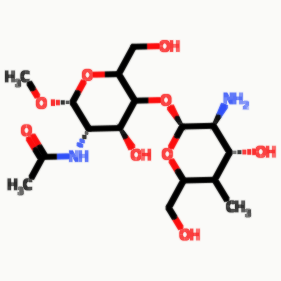 CO[C@@H]1OC(CO)C(O[C@@H]2OC(CO)C(C)[C@@H](O)[C@@H]2N)[C@@H](O)[C@@H]1NC(C)=O